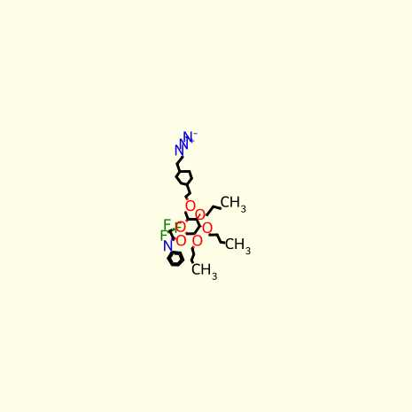 CCCCOC1[C@H](O/C(=N\c2ccccc2)C(F)(F)F)OC(COCCC2CCC(CCN=[N+]=[N-])CC2)[C@@H](OCCCC)[C@@H]1OCCCC